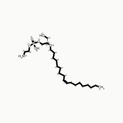 CCCCCCCC/C=C\CCCCCCCCO[C@@H](CO)COP(=O)(O)OCCN